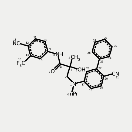 CCCN(CC(C)(O)C(=O)Nc1ccc(C#N)c(C(F)(F)F)c1)c1ccc(C#N)c(-c2ccccc2)c1